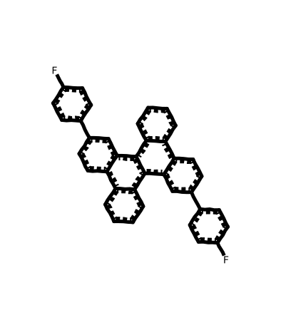 Fc1ccc(-c2ccc3c4ccccc4c4c5cc(-c6ccc(F)cc6)ccc5c5ccccc5c4c3c2)cc1